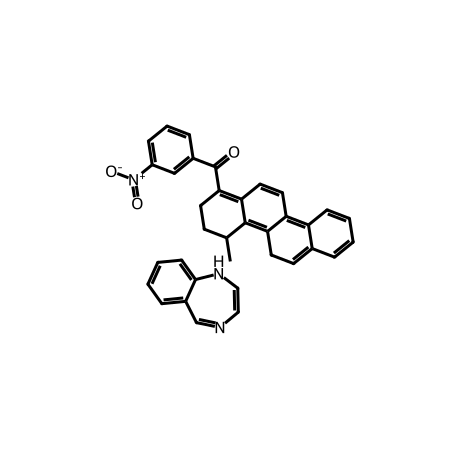 C1=CNc2ccccc2C=N1.CC1CCC(C(=O)c2cccc([N+](=O)[O-])c2)=c2ccc3c(c21)CC=c1ccccc1=3